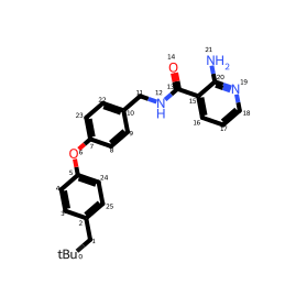 CC(C)(C)Cc1ccc(Oc2ccc(CNC(=O)c3cccnc3N)cc2)cc1